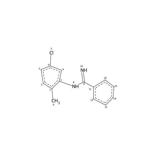 Cc1ccc(Cl)cc1NC(=N)c1ccccc1